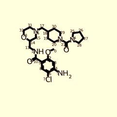 COc1cc(N)c(Cl)cc1C(=O)NCC1CN(CC2CCN(C(=O)N3CCCC3)CC2)CCO1